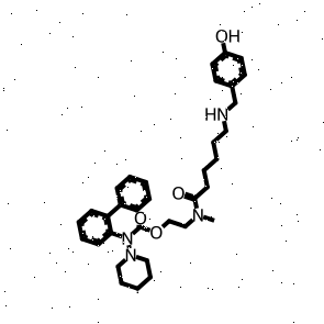 CN(CCOC(=O)N(c1ccccc1-c1ccccc1)N1CC[CH]CC1)C(=O)CCCCCNCc1ccc(O)cc1